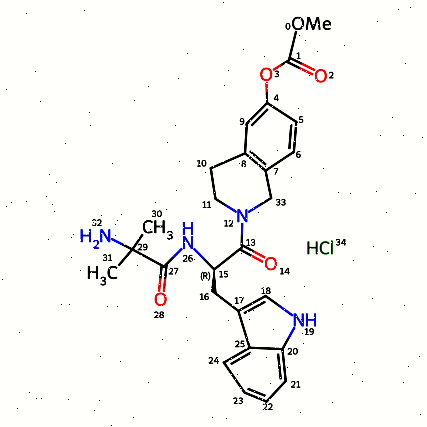 COC(=O)Oc1ccc2c(c1)CCN(C(=O)[C@@H](Cc1c[nH]c3ccccc13)NC(=O)C(C)(C)N)C2.Cl